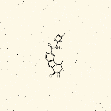 Cc1csc(NC(=O)c2ccc3cc4n(c3c2)C(C)CNC4=O)n1